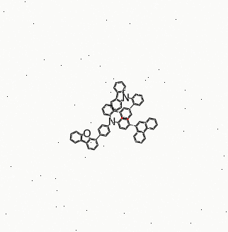 c1cc(-c2ccccc2N(c2ccc(-c3cc4ccccc4c4ccccc34)cc2)c2ccc(-c3cccc4c3oc3ccccc34)cc2)cc(-c2ccccc2-n2c3ccccc3c3ccccc32)c1